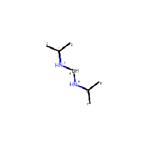 CC(C)NBNC(C)C